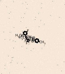 COc1ccc(F)cc1C(C)(C)CC(O)(COS(=O)(=O)c1ccc(C)cc1)C(F)(F)F